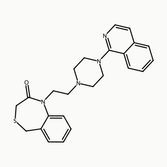 O=C1CSCc2ccccc2N1CCN1CCN(c2nccc3ccccc23)CC1